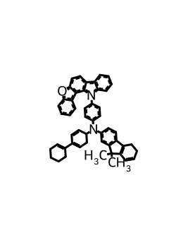 CC1(C)C2=C(CCC=C2)c2ccc(N(c3ccc(-n4c5ccccc5c5ccc6oc7ccccc7c6c54)cc3)C3C=CC(C4=CCCCC4)=CC3)cc21